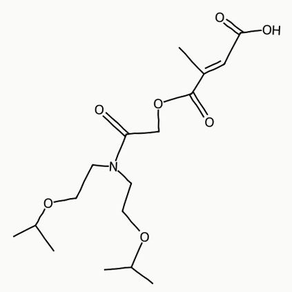 C/C(=C\C(=O)O)C(=O)OCC(=O)N(CCOC(C)C)CCOC(C)C